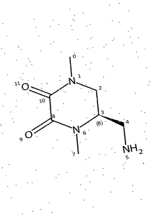 CN1C[C@@H](CN)N(C)C(=O)C1=O